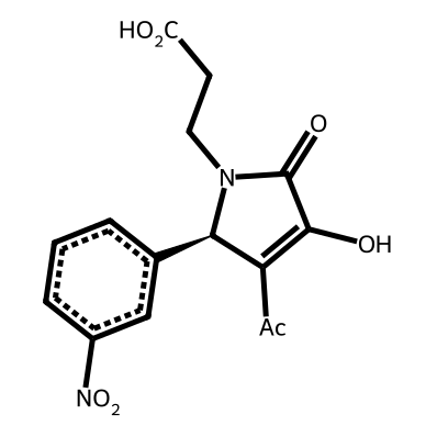 CC(=O)C1=C(O)C(=O)N(CCC(=O)O)[C@@H]1c1cccc([N+](=O)[O-])c1